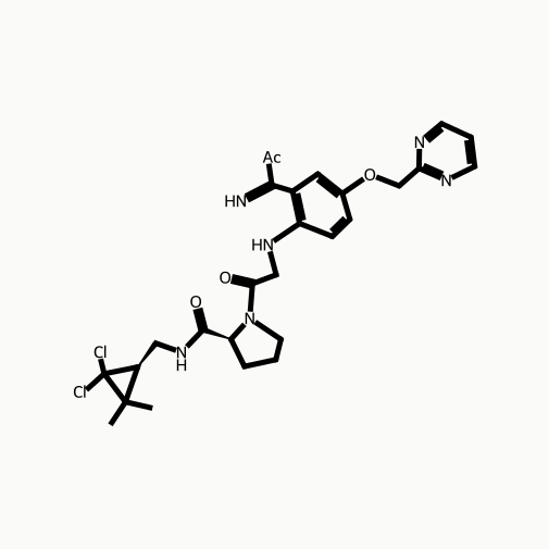 CC(=O)C(=N)c1cc(OCc2ncccn2)ccc1NCC(=O)N1CCC[C@H]1C(=O)NC[C@H]1C(C)(C)C1(Cl)Cl